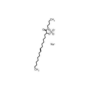 CCCCCCCCC=CCCCCCCC(OS(=O)(=O)[O-])C(=O)OCCCC.[Na+]